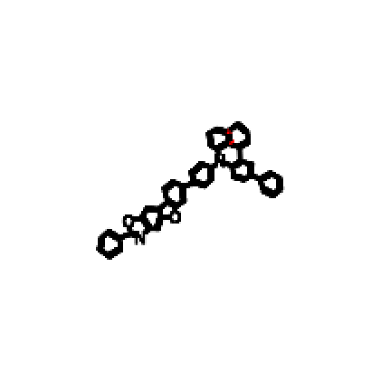 c1ccc(-c2ccc(N(c3ccccc3)c3ccc(-c4ccc5c(c4)oc4cc6nc(-c7ccccc7)oc6cc45)cc3)c(-c3ccccc3)c2)cc1